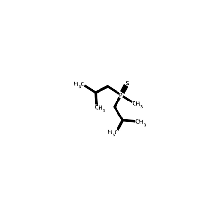 CC(C)CP(C)(=S)CC(C)C